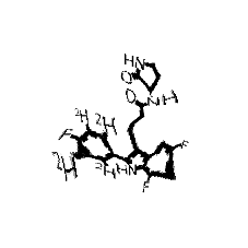 [2H]c1c([2H])c(-c2[nH]c3c(F)cc(F)cc3c2CCC(=O)N[C@H]2CCNC2=O)c([2H])c([2H])c1F